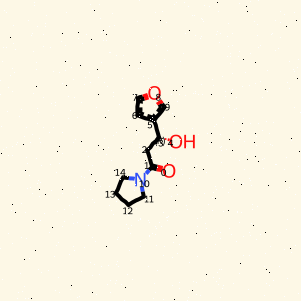 O=C(C[C@@H](O)c1ccoc1)N1CCCC1